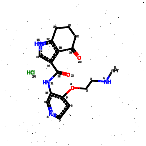 CCCNCCOc1ccncc1NC(=O)c1c[nH]c2c1C(=O)CCC2.Cl